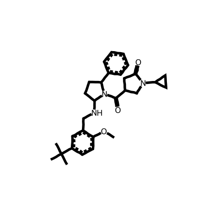 COc1ccc(C(C)(C)C)cc1CNC1CCC(c2ccccc2)N1C(=O)C1CC(=O)N(C2CC2)C1